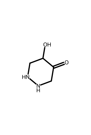 O=C1CNNCC1O